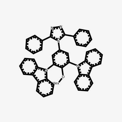 CCCCCCOc1c(-n2c3ccccc3c3ccccc32)cc(-n2c(-c3ccccc3)nnc2-c2ccccc2)cc1-n1c2ccccc2c2ccccc21